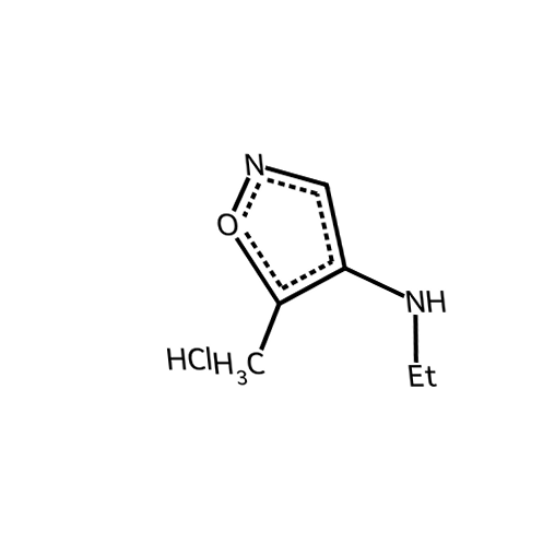 CCNc1cnoc1C.Cl